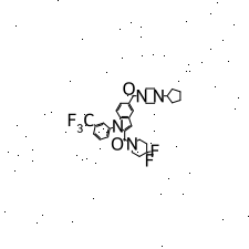 O=C(c1ccc2c(c1)cc(C(=O)N1CCC(F)(F)CC1)n2-c1cccc(C(F)(F)F)c1)N1CCN(C2CCCC2)CC1